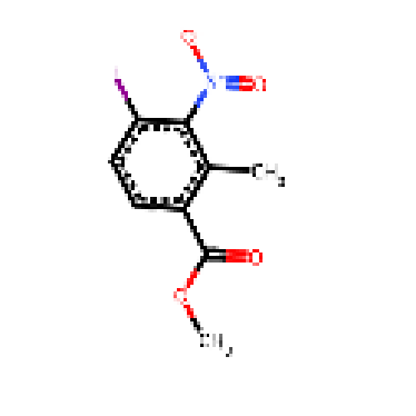 COC(=O)c1ccc(I)c([N+](=O)[O-])c1C